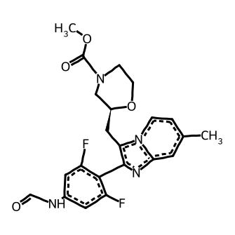 COC(=O)N1CCO[C@@H](Cc2c(-c3c(F)cc(NC=O)cc3F)nc3cc(C)ccn23)C1